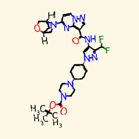 CC(C)(C)OC(=O)N1CCN([C@H]2CC[C@@H](n3cc(NC(=O)c4cnn5ccc(N6C[C@H]7C[C@@H]6CO7)nc45)c(C(F)F)n3)CC2)CC1